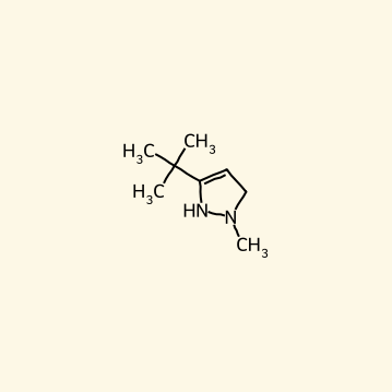 CN1CC=C(C(C)(C)C)N1